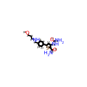 COCCCNCc1ccc(-c2cc(NC(N)=O)c(C(N)=O)s2)cc1